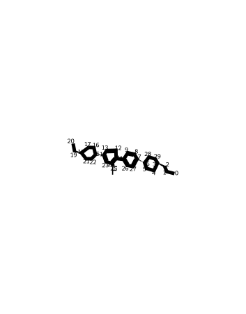 CCC[C@H]1CC[C@H](c2ccc(-c3ccc([C@H]4CC[C@H](CC)CC4)cc3F)cc2)CC1